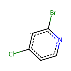 Clc1[c]c(Br)ncc1